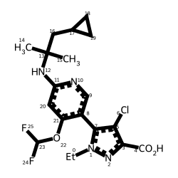 CCn1nc(C(=O)O)c(Cl)c1-c1cnc(NC(C)(C)CC2CC2)cc1OC(F)F